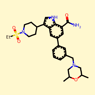 CCS(=O)(=O)N1CCC(c2c[nH]c3c(C(N)=O)cc(-c4cccc(CN5CC(C)OC(C)C5)c4)cc23)CC1